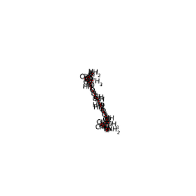 Cc1cc(S(=O)(=O)NCCOCCOCCNC(=O)NCCCCNC(=O)NCCOCCOCCNS(=O)(=O)c2ccc(O[C@H]3c4cc(Cl)cc(Cl)c4C[C@@H]3N3CCC[C@@H](N)C3)c(C)c2)ccc1O[C@H]1c2cc(Cl)cc(Cl)c2C[C@@H]1N1CCC[C@@H](N)C1